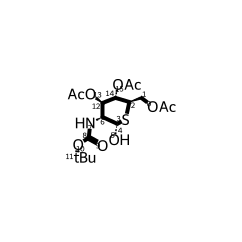 CC(=O)OC[C@H]1S[C@H](O)[C@H](NC(=O)OC(C)(C)C)[C@@H](OC(C)=O)[C@@H]1OC(C)=O